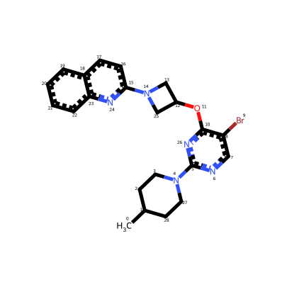 CC1CCN(c2ncc(Br)c(OC3CN(c4ccc5ccccc5n4)C3)n2)CC1